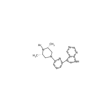 CC(=O)N1[C@H](C)CN(c2cccc(-c3c[nH]c4ncncc34)n2)C[C@@H]1C